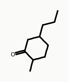 CCCC1CCC(C)C(=O)C1